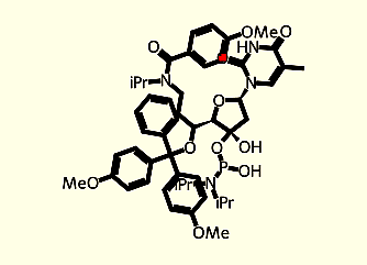 COc1ccc(C(=O)N(CCC(OC(c2ccccc2)(c2ccc(OC)cc2)c2ccc(OC)cc2)[C@H]2O[C@@H](n3cc(C)c(=O)[nH]c3=O)C[C@]2(O)OP(O)N(C(C)C)C(C)C)C(C)C)cc1